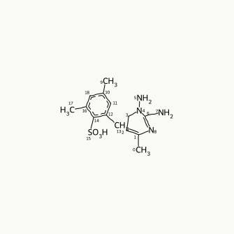 CC1=CCN(N)C(N)=N1.Cc1cc(C)c(S(=O)(=O)O)c(C)c1